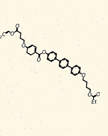 C=COC(=O)CCCOC1=CC=C(C(=O)Oc2ccc(-c3ccc(-c4ccc(OCCCCOC(=O)CC)cc4)cc3)cc2)CC1